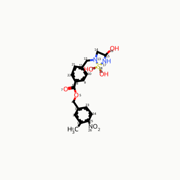 Cc1cc(COC(=O)c2ccc(CN3CC(O)NS3(O)O)cc2)ccc1[N+](=O)[O-]